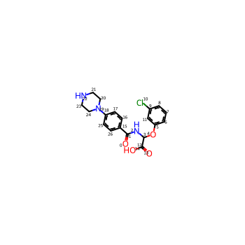 O=C(NC(Oc1cccc(Cl)c1)C(=O)O)c1ccc(N2CCNCC2)cc1